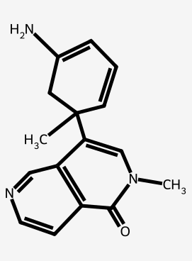 Cn1cc(C2(C)C=CC=C(N)C2)c2cnccc2c1=O